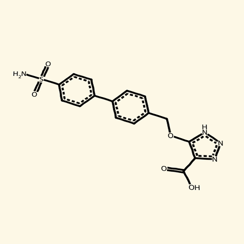 NS(=O)(=O)c1ccc(-c2ccc(COc3[nH]nnc3C(=O)O)cc2)cc1